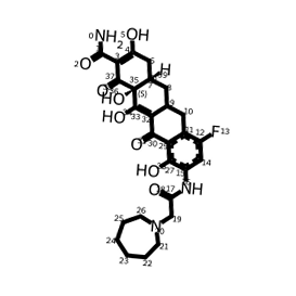 NC(=O)C1=C(O)C[C@@H]2CC3Cc4c(F)cc(NC(=O)CN5CCCCCC5)c(O)c4C(=O)C3=C(O)[C@]2(O)C1=O